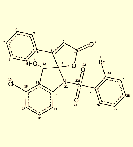 O=C1C=C(c2ccccc2)[C@]2(O1)[C@@H](O)c1c(Cl)cccc1N2S(=O)(=O)c1ccccc1Br